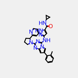 Cc1ccccc1-c1cc2nc(N3CCCC3c3ccccn3)nc(Nc3cc(C(=O)NC4CC4)[nH]n3)n2c1